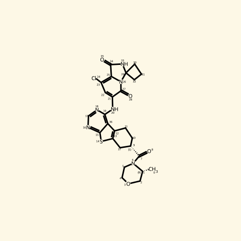 C[C@@H]1COCCN1C(=O)[C@H]1CCc2c(sc3ncnc(Nc4cc(Cl)c5n(c4=O)C4(CCC4)NC5=O)c23)C1